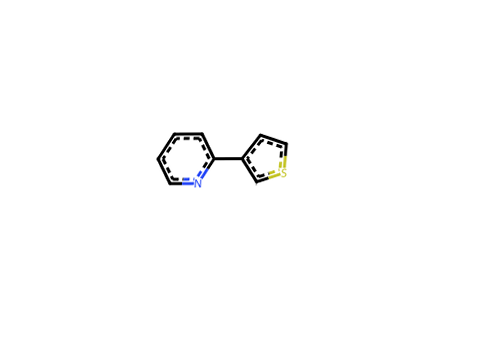 [c]1sccc1-c1ccccn1